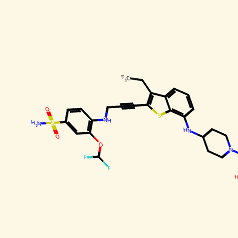 CC(O)CN1CCC(Nc2cccc3c(CC(F)(F)F)c(C#CCNc4ccc(S(N)(=O)=O)cc4OC(F)F)sc23)CC1